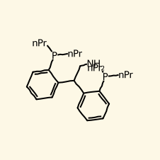 CCCP(CCC)c1ccccc1C(CN)c1ccccc1P(CCC)CCC